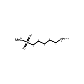 CCCCCCCCCCS(=O)(=O)OC